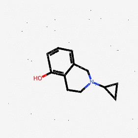 Oc1cccc2c1CCN(C1CC1)C2